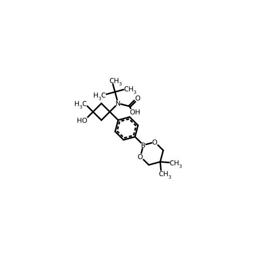 CC1(C)COB(c2ccc(C3(N(C(=O)O)C(C)(C)C)CC(C)(O)C3)cc2)OC1